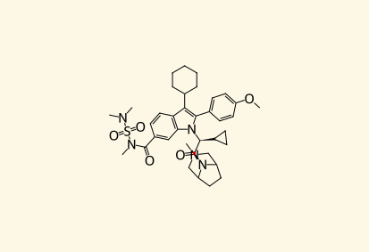 COc1ccc(-c2c(C3CCCCC3)c3ccc(C(=O)N(C)S(=O)(=O)N(C)C)cc3n2[C@H](C(=O)N2C3CCC2CN(C)C3)C2CC2)cc1